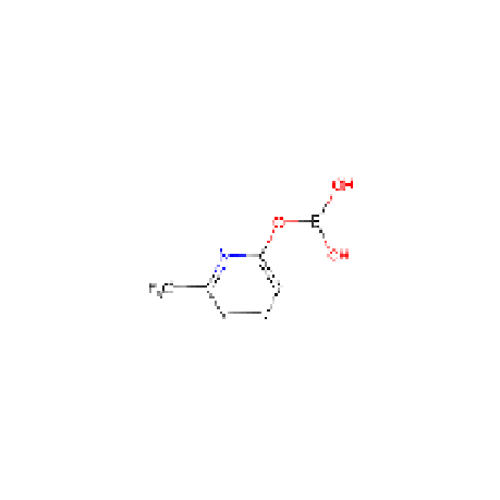 OB(O)Oc1cccc(C(F)(F)F)n1